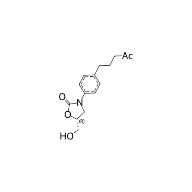 CC(=O)CCCc1ccc(N2C[C@H](CO)OC2=O)cc1